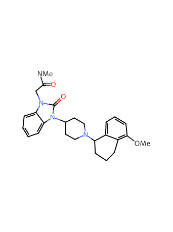 CNC(=O)Cn1c(=O)n(C2CCN(C3CCCc4c(OC)cccc43)CC2)c2ccccc21